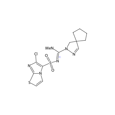 CN/C(=N\S(=O)(=O)c1c(Cl)nc2sccn12)N1CC2(C=N1)CCCC2